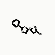 BrC1=NO[C@@H](c2cnc(-c3ccccc3)s2)C1